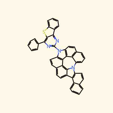 c1ccc(-c2nc(-n3c4ccc5cccc6c5c4c4c5c(ccc7c8c9ccccc9ccc8n6c75)ccc43)nc3c2sc2ccccc23)cc1